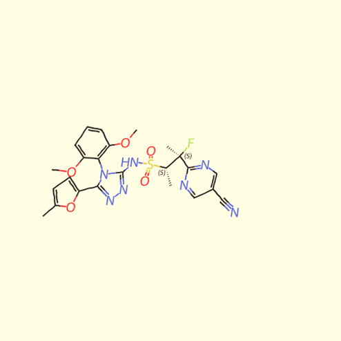 COc1cccc(OC)c1-n1c(NS(=O)(=O)[C@@H](C)[C@@](C)(F)c2ncc(C#N)cn2)nnc1-c1ccc(C)o1